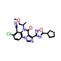 COCC(C)n1c(=O)c2c(-c3noc(C4CCCC4)n3)ncn2c2ccc(Cl)c(C#N)c21